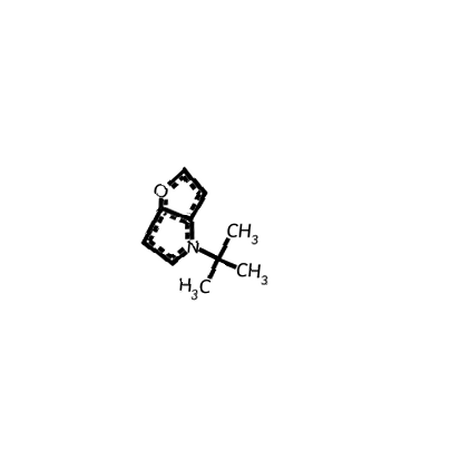 CC(C)(C)n1ccc2occc21